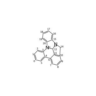 c1ccc2c(c1)-c1cccc3c1C1N(C3)c3ccccc3N21